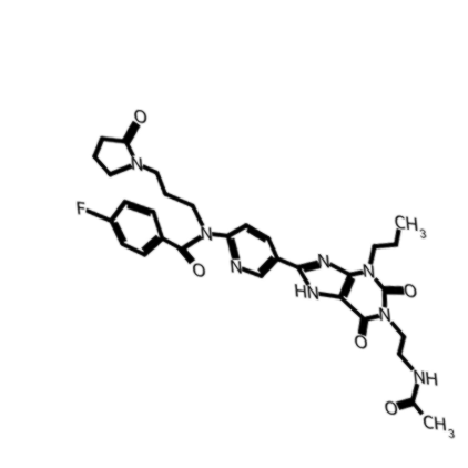 CCCn1c(=O)n(CCNC(C)=O)c(=O)c2[nH]c(-c3ccc(N(CCCN4CCCC4=O)C(=O)c4ccc(F)cc4)nc3)nc21